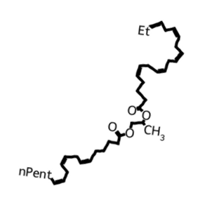 CC/C=C\C/C=C\C/C=C\C/C=C\C/C=C\CCCC(=O)OC(C)COC(=O)CCCC/C=C\C/C=C\C/C=C\CCCCC